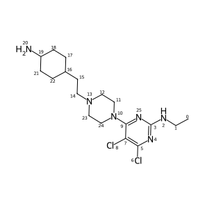 CCNc1nc(Cl)c(Cl)c(N2CCN(CCC3CCC(N)CC3)CC2)n1